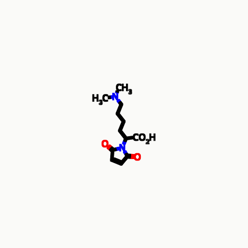 CN(C)CCCCC(C(=O)O)N1C(=O)C=CC1=O